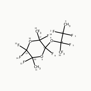 CC(F)(F)C(F)(OC1(F)OC(C)(F)C(F)(F)OC1(F)C(F)(F)F)C(F)(F)F